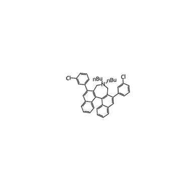 CCCC[N+]1(CCCC)Cc2c(-c3cccc(Cl)c3)cc3ccccc3c2-c2c(c(-c3cccc(Cl)c3)cc3ccccc23)C1